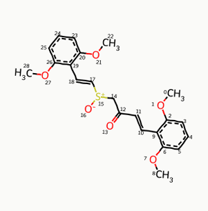 COc1cccc(OC)c1C=CC(=O)C[S+]([O-])C=Cc1c(OC)cccc1OC